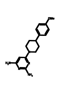 COc1ccc(C2CCN(c3cc(N)nc(N)n3)CC2)cc1